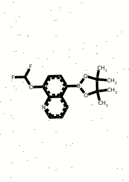 CC1(C)OB(c2ccc(OC(F)F)c3ncccc23)OC1(C)C